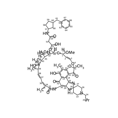 CO[C@H]1/C=C/OC2(C)Oc3c(C)c(O)c4c(c3C2=O)C2=NC3(CCN(CC(C)C)CC3)NC2=C(NC(=O)/C(C)=C\C=C\C(C)[C@H](O)[C@@H](C)C(O)[C@@H](C)[C@H](OC(O)CC(=O)NC2CCC(Cc3ccccc3)C2)C1)C4=O